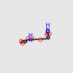 CC1(C)OCc2cc(C(O)CNCCCCCCOCCCCc3cccc(S(=O)(=O)N4CCNCC4)c3)ccc2O1